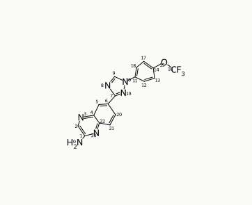 Nc1cnc2cc(-c3ncn(-c4ccc(OC(F)(F)F)cc4)n3)ccc2n1